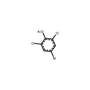 [CH2]C(=O)Oc1c(Cl)cc(Br)cc1Cl